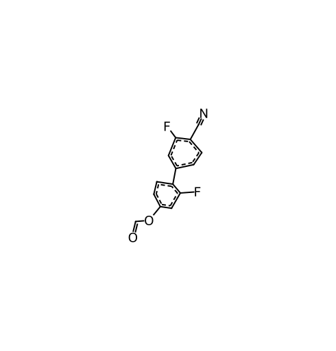 N#Cc1ccc(-c2ccc(OC=O)cc2F)cc1F